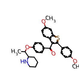 COc1ccc(-c2sc3cc(OC)ccc3c2C(=O)c2ccc(OC(C)C3CCCCN3)cc2)cc1